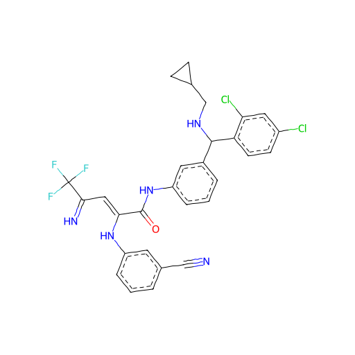 N#Cc1cccc(N/C(=C\C(=N)C(F)(F)F)C(=O)Nc2cccc(C(NCC3CC3)c3ccc(Cl)cc3Cl)c2)c1